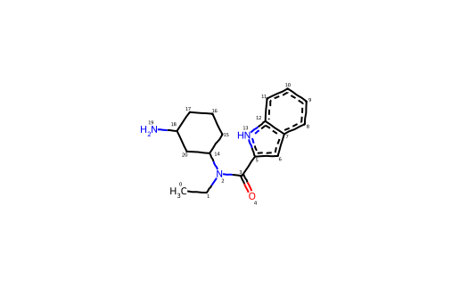 CCN(C(=O)c1cc2ccccc2[nH]1)C1CCCC(N)C1